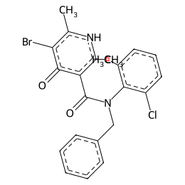 Cc1cccc(Cl)c1N(Cc1ccccc1)C(=O)c1c(C)[nH]c(C)c(Br)c1=O